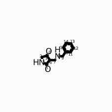 O=C1CNC(=O)C1CNCc1ccccc1